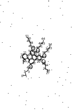 CCCCCOc1cc(-c2ccccc2F)c2c(c1)c1cc(OCCCCC)c(OCCCCC)cc1c1c(OCCCCC)c(OCCCCC)ccc21